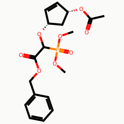 COP(=O)(OC)C(O[C@@H]1C=C[C@H](OC(C)=O)C1)C(=O)OCc1ccccc1